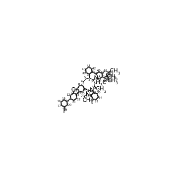 C=C1CC2C(CCc3cc4oc5cc(-c6cccc(F)c6)ccc5c4cc3-c3n(CC)c4ccccc4[n+]31)c1ccccc1-c1cc(CC(C)C)c([Si](C)(C)C)c[n+]12